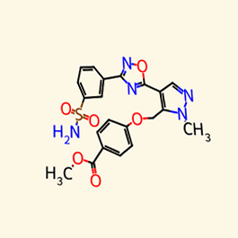 COC(=O)c1ccc(OCc2c(-c3nc(-c4cccc(S(N)(=O)=O)c4)no3)cnn2C)cc1